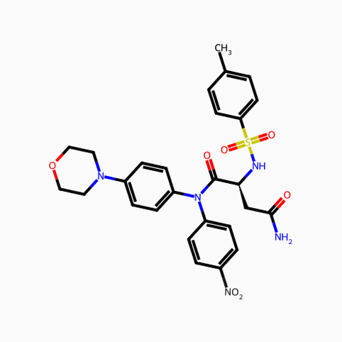 Cc1ccc(S(=O)(=O)N[C@@H](CC(N)=O)C(=O)N(c2ccc(N3CCOCC3)cc2)c2ccc([N+](=O)[O-])cc2)cc1